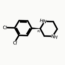 Clc1ccc([C@@H]2CNCCN2)cc1Cl